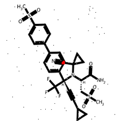 CS(=O)(=O)C[C@@H](C(N)=O)N(C1(C#N)CC1)[C@@](C#CC1CC1)(c1ccc(-c2ccc(S(C)(=O)=O)cc2)cc1)C(F)(F)F